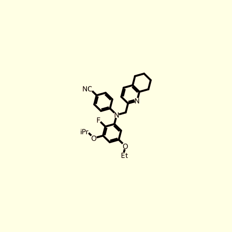 CCOc1cc(OC(C)C)c(F)c(N(Cc2ccc3c(n2)CCCC3)c2ccc(C#N)cc2)c1